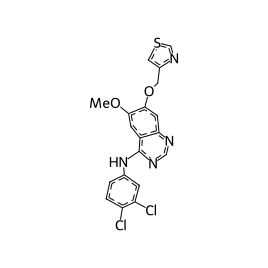 COc1cc2c(Nc3ccc(Cl)c(Cl)c3)ncnc2cc1OCc1cscn1